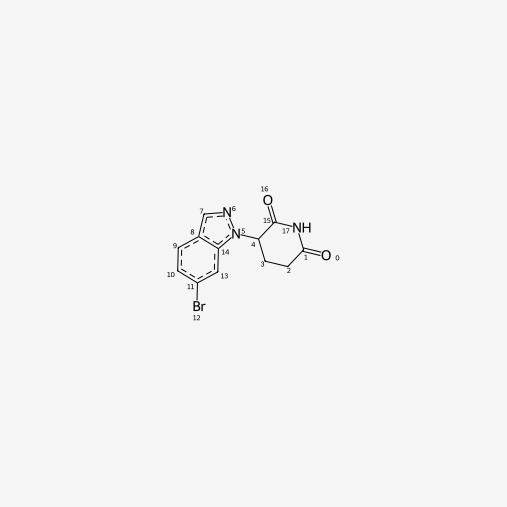 O=C1CCC(n2ncc3ccc(Br)cc32)C(=O)N1